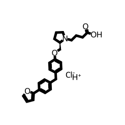 O=C(O)CCCN1CCC[C@@H]1COc1ccc(Cc2ccc(-c3ccco3)cc2)cc1.[Cl-].[H+]